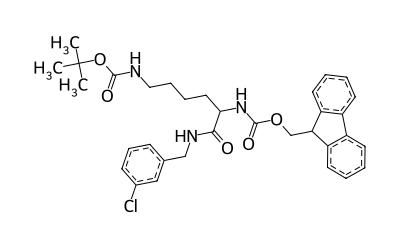 CC(C)(C)OC(=O)NCCCCC(NC(=O)OCC1c2ccccc2-c2ccccc21)C(=O)NCc1cccc(Cl)c1